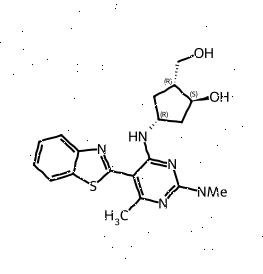 CNc1nc(C)c(-c2nc3ccccc3s2)c(N[C@@H]2C[C@H](CO)[C@@H](O)C2)n1